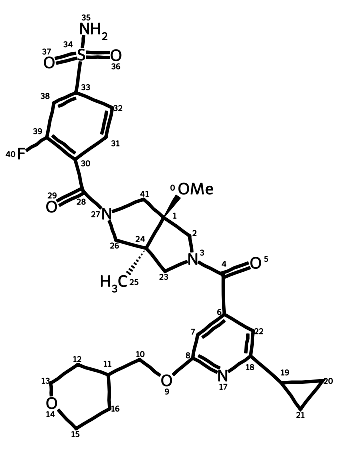 CO[C@@]12CN(C(=O)c3cc(OCC4CCOCC4)nc(C4CC4)c3)C[C@@]1(C)CN(C(=O)c1ccc(S(N)(=O)=O)cc1F)C2